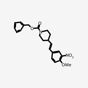 COc1ccc(C=CC2CCN(C(=O)OCc3ccccc3)CC2)cc1[N+](=O)[O-]